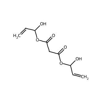 C=CC(O)OC(=O)CC(=O)OC(O)C=C